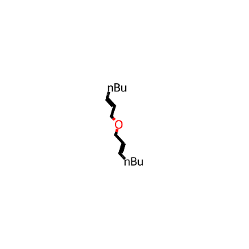 CCCCC=CCOCC=CCCCC